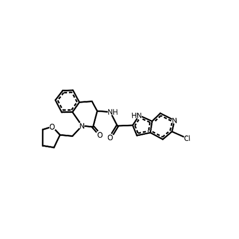 O=C(NC1Cc2ccccc2N(CC2CCCO2)C1=O)c1cc2cc(Cl)ncc2[nH]1